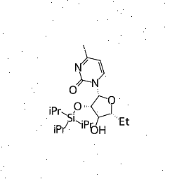 CC[C@H]1O[C@@H](n2ccc(C)nc2=O)[C@@H](O[Si](C(C)C)(C(C)C)C(C)C)C1O